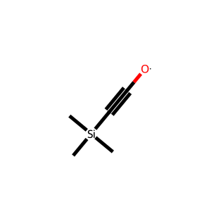 C[Si](C)(C)C#C[O]